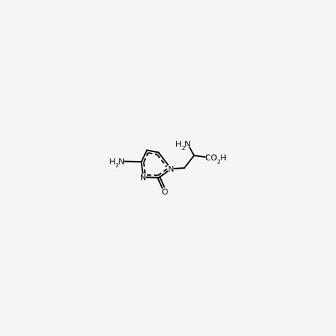 Nc1ccn(CC(N)C(=O)O)c(=O)n1